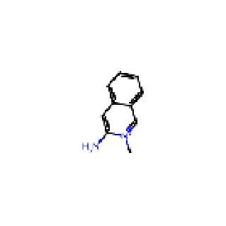 C[n+]1cc2ccccc2cc1N